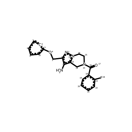 Nc1c(COc2ccccc2)nn2c1CN(C(=O)c1ccccc1F)CC2